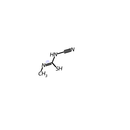 C/N=C(\S)NC#N